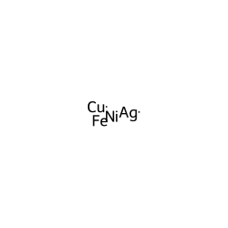 [Ag].[Cu].[Fe].[Ni]